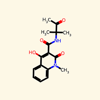 CC(=O)C(C)(C)NC(=O)c1c(O)c2ccccc2n(C)c1=O